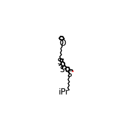 C=Cc1cc2c(cc1SCCCCCCCCC(C)C)sc1c(C)c3sc(CCCCCCCOc4ccccc4)cc3cc12